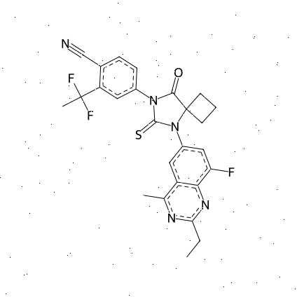 CCc1nc(C)c2cc(N3C(=S)N(c4ccc(C#N)c(C(C)(F)F)c4)C(=O)C34CCC4)cc(F)c2n1